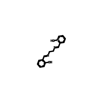 Oc1ccccc1C=NCCN=Cc1cccc[p+]1O